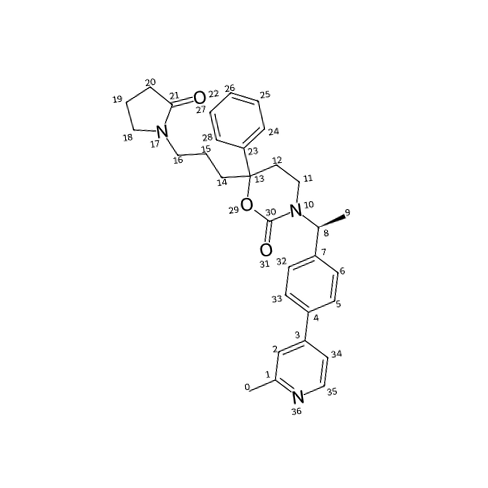 Cc1cc(-c2ccc([C@H](C)N3CCC(CCCN4CCCC4=O)(c4ccccc4)OC3=O)cc2)ccn1